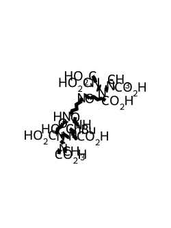 CCCCNCOC(CCCC/N=C\OCCC(C(=O)O)N(CCN(C)CC(=O)O)CCN(CC(=O)O)CC(=O)O)NCOCCC(C(=O)O)N(CCN(C)CC(=O)O)CCN(CC(=O)O)CC(=O)O